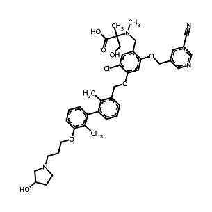 Cc1c(COc2cc(OCc3cncc(C#N)c3)c(CN(C)C(C)(CO)C(=O)O)cc2Cl)cccc1-c1cccc(OCCCN2CCC(O)C2)c1C